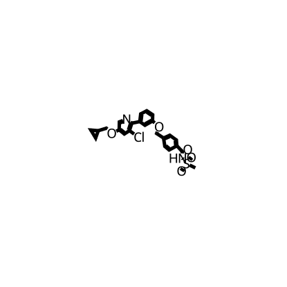 CS(=O)(=O)NC(=O)c1ccc(COc2cccc(-c3ncc(OCC4CC4)cc3Cl)c2)cc1